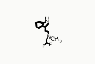 CN(CCc1c[nH]c2ccccc12)CC(F)F